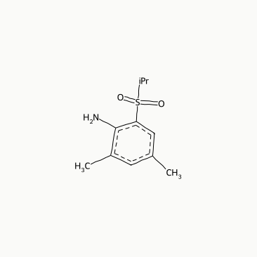 Cc1cc(C)c(N)c(S(=O)(=O)C(C)C)c1